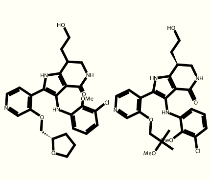 COc1c(Cl)cccc1Nc1c(-c2ccncc2OCC(C)(C)OC)[nH]c2c1C(=O)NC[C@@H]2CCO.COc1c(Cl)cccc1Nc1c(-c2ccncc2OC[C@@H]2CCCO2)[nH]c2c1C(=O)NCC2CCO